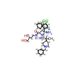 CC(C)(C[C@@H]1N[C@@H](C(=O)NCC[C@H](O)CO)[C@H](c2cccc(Cl)c2F)[C@@]1(N)c1ccc(Cl)cc1F)C1CCN(Cc2ccccc2)CC1